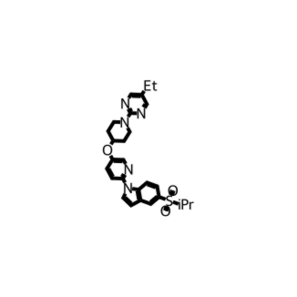 CCc1cnc(N2CCC(Oc3ccc(-n4ccc5cc(S(=O)(=O)C(C)C)ccc54)nc3)CC2)nc1